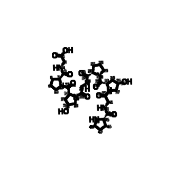 O=C(O)CNC(=O)[C@@H]1CCCN1C(=O)[C@@H]1C[C@@H](O)CN1C(=O)CNC(=O)[C@@H]1CCCN1C(=O)[C@@H]1C[C@@H](O)CN1C(=O)CNC(=O)[C@@H]1CCCN1